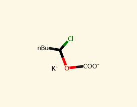 CCCCC(Cl)OC(=O)[O-].[K+]